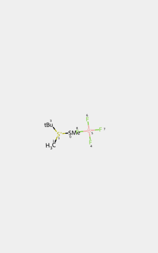 CS[S+](C)C(C)(C)C.F[B-](F)(F)F